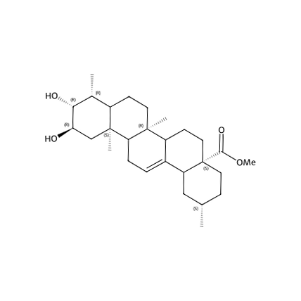 COC(=O)[C@@]12CCC3C(=CCC4[C@@]3(C)CCC3[C@@H](C)[C@@H](O)[C@H](O)C[C@@]34C)C1C[C@@H](C)CC2